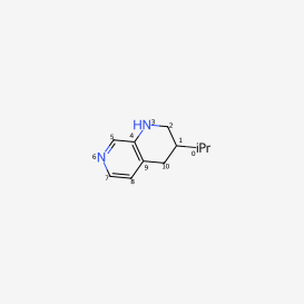 CC(C)C1CNc2cnccc2C1